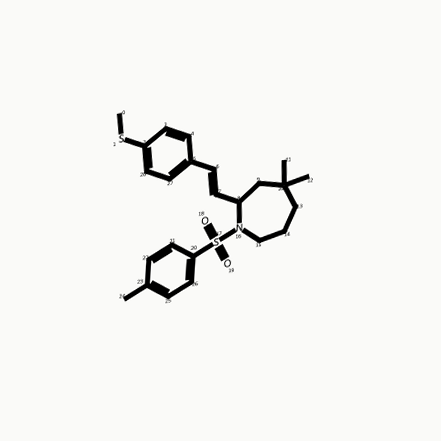 CSc1ccc(C=CC2CC(C)(C)CCCN2S(=O)(=O)c2ccc(C)cc2)cc1